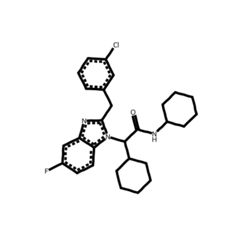 O=C(NC1CCCCC1)C(C1CCCCC1)n1c(Cc2cccc(Cl)c2)nc2cc(F)ccc21